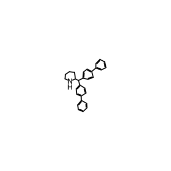 c1ccc(-c2ccc(C(c3ccc(-c4ccccc4)cc3)C3CCCCN3)cc2)cc1